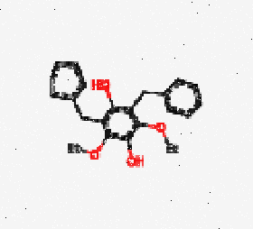 CCOc1c(O)c(OCC)c(Cc2ccccc2)c(O)c1Cc1ccccc1